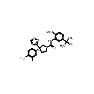 COc1ccc(C(C)(C)O)cc1NC(=O)N1CC[C@](c2ccc(C)c(F)c2)(c2ncns2)C1